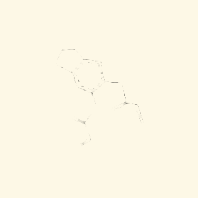 C=CC(=O)Oc1cc2c(cc1OC(=O)C=C)CCC2